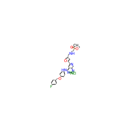 CS(=O)(=O)CCNCc1coc(-c2cc3c(Nc4ccc(OCc5ccc(F)cc5)cc4)ncnc3cn2)c1.Cl.Cl